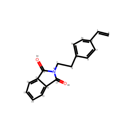 C=Cc1ccc(CCN2C(=O)c3ccccc3C2=O)cc1